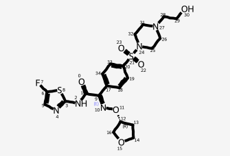 O=C(Nc1ncc(F)s1)/C(=N/O[C@@H]1CCOC1)c1ccc(S(=O)(=O)N2CCN(CCO)CC2)cc1